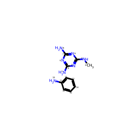 CNc1nc(N)nc(N)n1.Nc1ccccc1